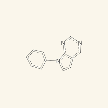 c1ccc(-n2ccc3cncnc32)cc1